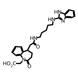 O=C(O)CN1C(=O)CCC(CC(=O)NCCCCCNc2nc3ccccc3[nH]2)c2ccccc21